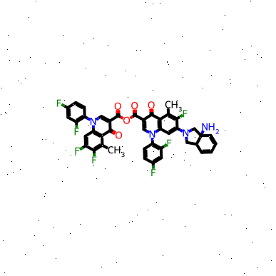 Cc1c(F)c(F)cc2c1c(=O)c(C(=O)OC(=O)c1cn(-c3ccc(F)cc3F)c3cc(N4CC5C=CC=CC5(N)C4)c(F)c(C)c3c1=O)cn2-c1ccc(F)cc1F